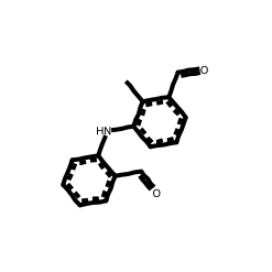 Cc1c(C=O)cccc1Nc1ccccc1C=O